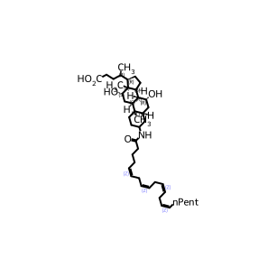 CCCCC/C=C\C/C=C\C/C=C\C/C=C\CCCC(=O)NC1CC[C@@]2(C)[C@@H](C1)C[C@@H](O)[C@@H]1[C@@H]2C[C@H](O)[C@]2(C)[C@@H]([C@H](C)CCC(=O)O)CC[C@@H]12